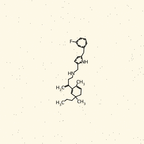 C=C(CCNCc1ccc(Cc2cccc(F)c2)[nH]1)C1=CC(C)(CCC)CC=C1C